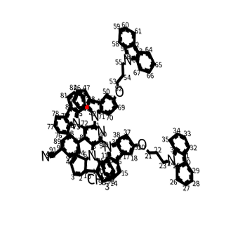 CC12C=CC=CC1N(c1c(-n3c4ccccc4c4cc(OCCCn5c6ccccc6c6ccccc65)ccc43)nc(-n3c4ccccc4c4cc(OCCCn5c6ccccc6c6ccccc65)ccc43)c(-n3c4ccccc4c4ccccc43)c1-c1ccc(C#N)cc1)c1ccccc12